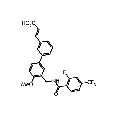 COc1ccc(-c2cccc(/C=C/C(=O)O)c2)cc1CNC(=O)c1ccc(C(F)(F)F)cc1F